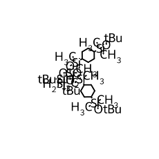 CC(C)(C)O[Si](C)(C)C1CCC([Si](C)(C)O[Si](O[SiH2]C(C)(C)C)(O[SiH2]C(C)(C)C)O[Si](C)(C)C2CCC([Si](C)(C)OC(C)(C)C)CC2)CC1